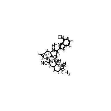 CC1(C)CCC(CC(C)(C#N)NC(=O)C(CC2CC2)NC(=O)c2cc3cccc(Cl)c3[nH]2)C(O)N1